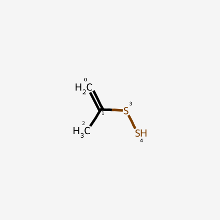 C=C(C)SS